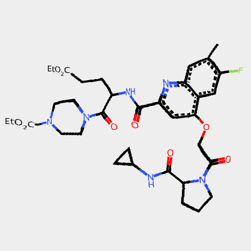 CCOC(=O)CCC(NC(=O)c1cc(OCC(=O)N2CCCC2C(=O)NC2CC2)c2cc(F)c(C)cc2n1)C(=O)N1CCN(C(=O)OCC)CC1